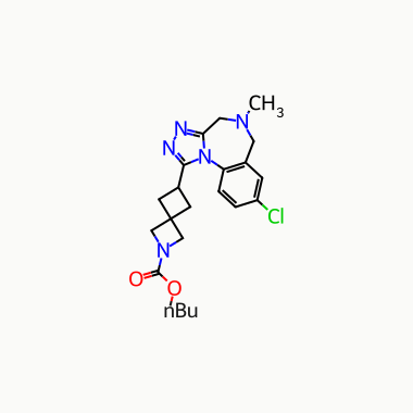 CCCCOC(=O)N1CC2(CC(c3nnc4n3-c3ccc(Cl)cc3CN(C)C4)C2)C1